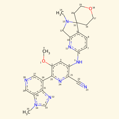 COc1cc(Nc2ccc3c(n2)CN(C)C32CCOCC2)c(C#N)nc1-c1cncc2c1ncn2C